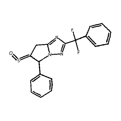 O=S=C1Cc2nc(C(F)(F)c3ccccc3)nn2C1c1ccccc1